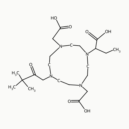 CCC(C(=O)O)N1CCN(CC(=O)O)CCN(CC(=O)C(C)(C)C)CCN(CC(=O)O)CC1